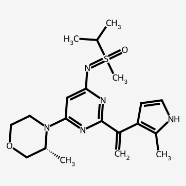 C=C(c1nc(N=S(C)(=O)C(C)C)cc(N2CCOC[C@H]2C)n1)c1cc[nH]c1C